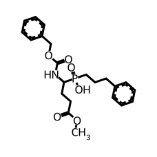 COC(=O)CCC(NC(=O)OCc1ccccc1)P(=O)(O)CCCc1ccccc1